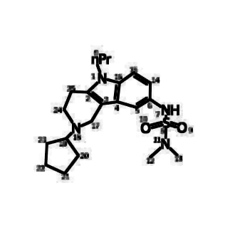 CCCn1c2c(c3cc(NS(=O)(=O)N(C)C)ccc31)CN(C1CCCC1)CC2